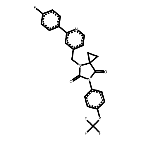 O=C1N(c2ccc(SC(F)(F)F)cc2)C(=O)C2(CC2)N1Cc1ccnc(-c2ccc(F)cc2)c1